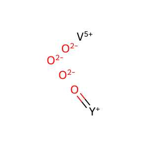 [O-2].[O-2].[O-2].[O]=[Y+].[V+5]